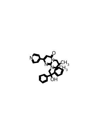 CC1(C)CN(CC(O)(c2ccccc2)c2ccccc2)c2nc(-c3ccncc3)cc(=O)n2C1